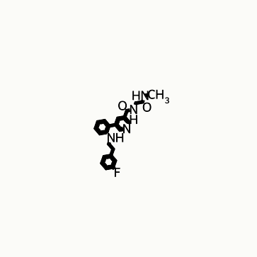 CNC(=O)CNC(=O)c1cncc(-c2ccccc2NCCc2cccc(F)c2)c1